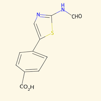 O=CNc1ncc(-c2ccc(C(=O)O)cc2)s1